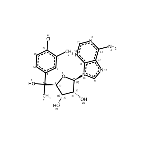 Cc1cc(C(C)(O)[C@H]2O[C@@H](n3cnc4c(N)ncnc43)[C@H](O)[C@@H]2O)ccc1Cl